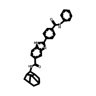 O=C(Nc1ccccc1)c1ccc(-c2nc3cc(C(=O)NC4C5CC6CC(C5)CC4C6)ccc3[nH]2)cc1